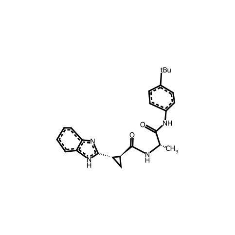 C[C@H](NC(=O)[C@H]1C[C@@H]1c1nc2ccccc2[nH]1)C(=O)Nc1ccc(C(C)(C)C)cc1